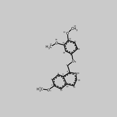 COc1ccc2c(COc3ccc(OC)c(OC)c3)nccc2c1